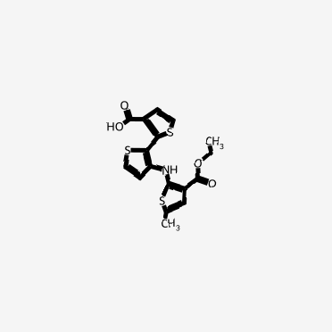 CCOC(=O)c1cc(C)sc1Nc1ccsc1-c1sccc1C(=O)O